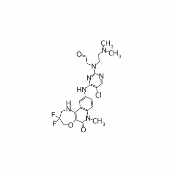 CN(C)CCN(CC=O)c1ncc(Cl)c(Nc2ccc3c(c2)c2c(c(=O)n3C)OCC(F)(F)CN2)n1